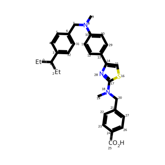 CCC(CC)c1ccc(CN(C)c2ccc(-c3csc(N(C)Cc4ccc(C(=O)O)cc4)n3)cc2)cc1